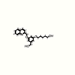 OCCCCCOc1cc(CO)cc(OCc2ccc3ccccc3n2)c1